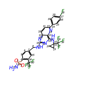 NS(=O)(=O)c1ccc(CNc2nc(NC3(C(F)(F)F)CC3)c3nc(-c4ccc(F)cc4)ccc3n2)cc1C(F)(F)F